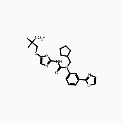 CC(C)(CSc1cnc(NC(=O)N(CC2CCCC2)c2cccc(-c3ncco3)c2)s1)C(=O)O